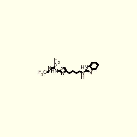 N/C(=N/CC(F)(F)F)Nc1nc(CCCCNc2nc3ccccc3[nH]2)cs1